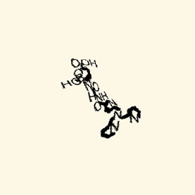 O=C(CNC(=O)c1ccc(CN(Cc2ccccn2)Cc2ccccn2)nc1)N[C@H]1CC[C@H](C(=O)O)OB1O